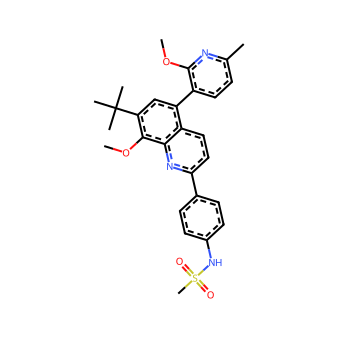 COc1nc(C)ccc1-c1cc(C(C)(C)C)c(OC)c2nc(-c3ccc(NS(C)(=O)=O)cc3)ccc12